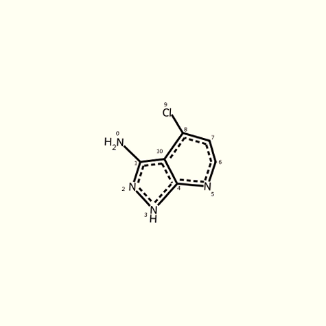 Nc1n[nH]c2nccc(Cl)c12